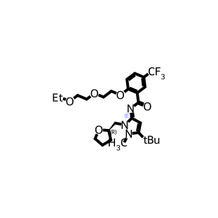 CCOCCOCCOc1ccc(C(F)(F)F)cc1C(=O)/N=c1\cc(C(C)(C)C)n(C)n1C[C@H]1CCCO1